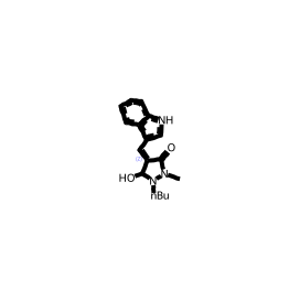 CCCCN1C(O)/C(=C/c2c[nH]c3ccccc23)C(=O)N1C